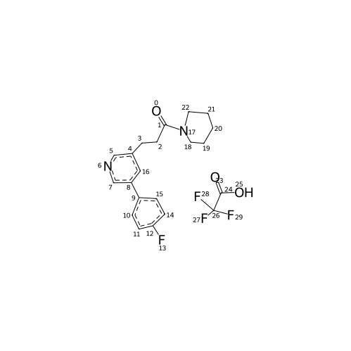 O=C(CCc1cncc(-c2ccc(F)cc2)c1)N1CCCCC1.O=C(O)C(F)(F)F